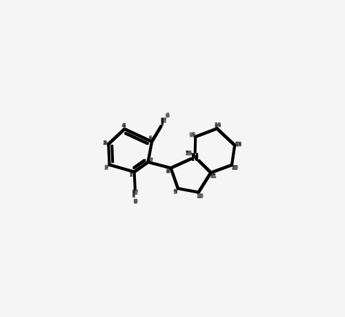 Fc1cccc(F)c1C1CCC2CCCCN21